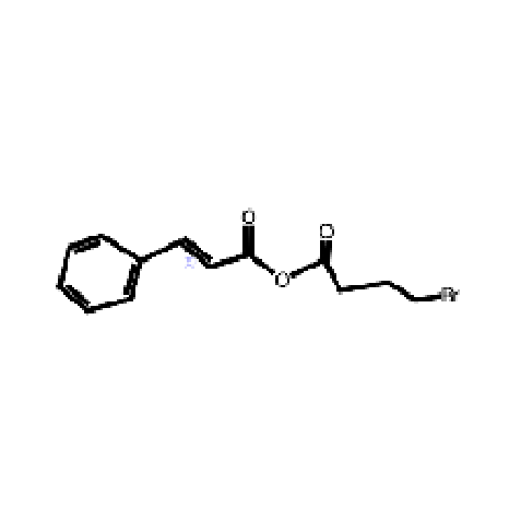 O=C(/C=C/c1ccccc1)OC(=O)CCCBr